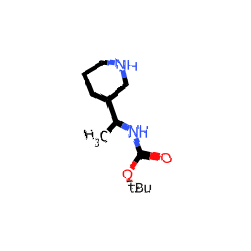 CC(NC(=O)OC(C)(C)C)C1CCCNC1